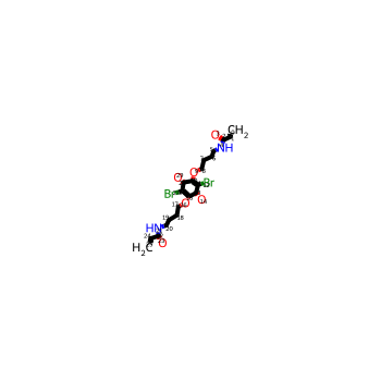 C=CC(=O)NCCCCOC1=C(Br)C(=O)C(OCCCCNC(=O)C=C)=C(Br)C1=O